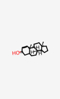 C[C@@]12CCC[C@H]1[C@@H]1CCC3C[C@@H](O)C=C[C@]3(C)[C@H]1CC2